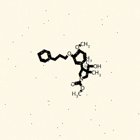 COC(=O)N1CC(c2ccc(OC)c(OCCCc3ccccc3)c2)C(C)([C@H](C)O)C1